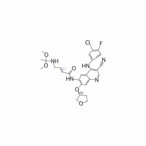 COC(C)(NC/C=C/C(=O)Nc1cc2c(Nc3ccc(F)c(Cl)c3)c(C#N)cnc2cc1O[C@H]1CCOC1)OC